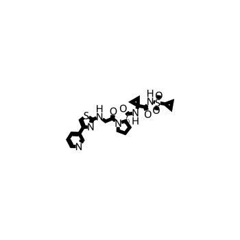 O=C(NC1(C(=O)NS(=O)(=O)C2CC2)CC1)[C@@H]1CCCN1C(=O)CNc1nc(-c2cccnc2)cs1